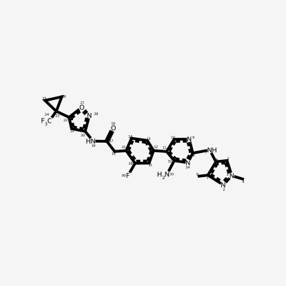 Cc1nn(C)cc1Nc1ncc(-c2ccc(CC(=O)Nc3cc(C4(C(F)(F)F)CC4)on3)c(F)c2)c(N)n1